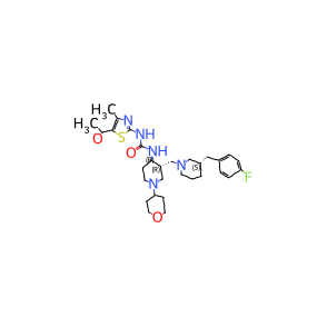 CC(=O)c1sc(NC(=O)N[C@@H]2CCN(C3CCOCC3)C[C@H]2CN2CCC[C@@H](Cc3ccc(F)cc3)C2)nc1C